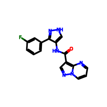 O=C(Nc1c[nH]nc1-c1cccc(F)c1)c1cnn2cccnc12